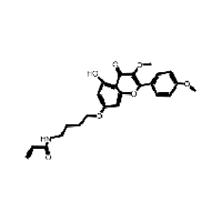 C=CC(=O)NCCCCOc1cc(O)c2c(=O)c(OC)c(-c3ccc(OC)cc3)oc2c1